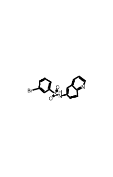 O=S(=O)(Nc1ccc2ncccc2c1)c1cccc(Br)c1